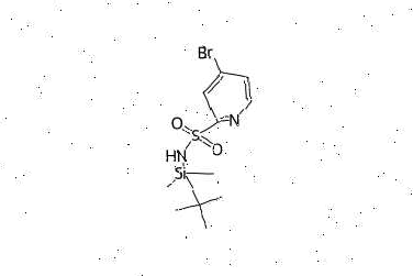 CC(C)(C)[Si](C)(C)NS(=O)(=O)c1cc(Br)ccn1